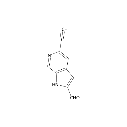 C#Cc1cc2cc(C=O)[nH]c2cn1